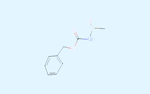 C[S+]([O-])NC(=O)OCc1ccccc1